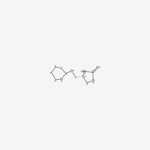 O=C1N[C@@H](COC2CCCCO2)CO1